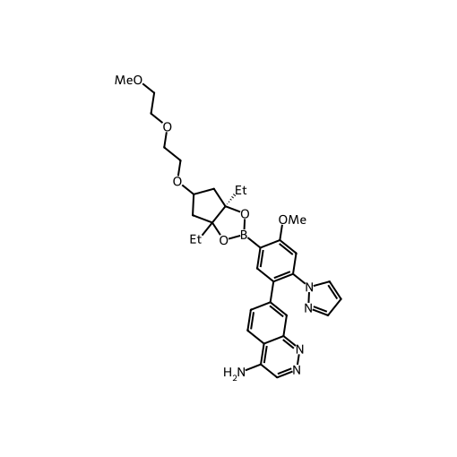 CCC12CC(OCCOCCOC)C[C@@]1(CC)OB(c1cc(-c3ccc4c(N)cnnc4c3)c(-n3cccn3)cc1OC)O2